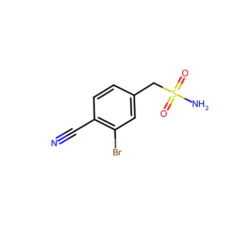 N#Cc1ccc(CS(N)(=O)=O)cc1Br